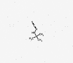 C[Si](C)(C)NN=C=S